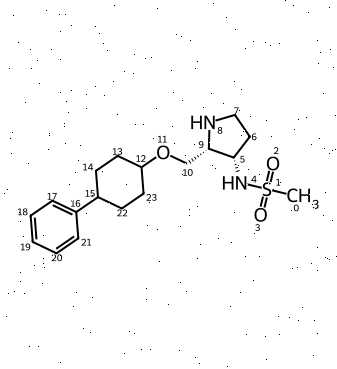 CS(=O)(=O)N[C@H]1CCN[C@H]1COC1CCC(c2ccccc2)CC1